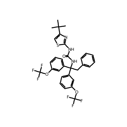 CC(C)(C)c1csc(NC(=O)NC(Cc2ccccc2)(c2cccc(OC(F)(F)F)c2)c2cccc(OC(F)(F)F)c2)n1